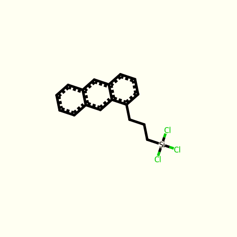 Cl[Si](Cl)(Cl)CCCc1cccc2cc3ccccc3cc12